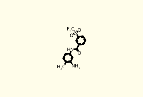 Cc1ccc(NC(=O)c2cccc(S(=O)(=O)C(F)(F)F)c2)cc1N